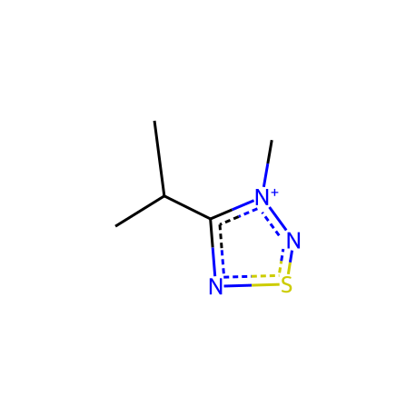 CC(C)c1nsn[n+]1C